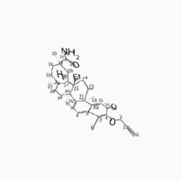 C#CCOC1=C(C)C2=CC=C3[C@@](C)(CC[C@@]4(CC)[C@@H]5C[C@](C)(C(N)=O)CC[C@]5(C)CC[C@]34C)C2=CC1=O